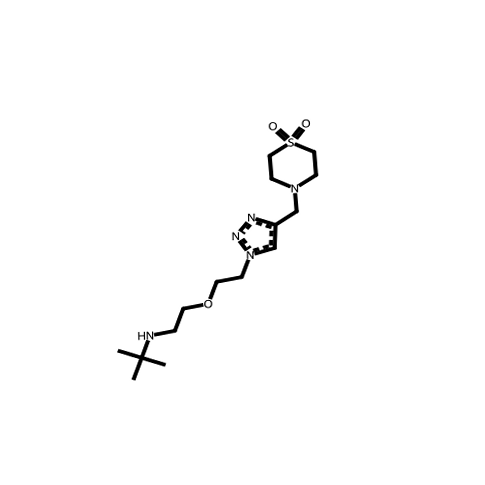 CC(C)(C)NCCOCCn1cc(CN2CCS(=O)(=O)CC2)nn1